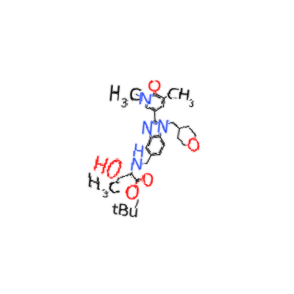 Cc1cc(-c2nc3cc(CN[C@H](C(=O)OCC(C)(C)C)[C@@H](C)O)ccc3n2CC2CCOCC2)cn(C)c1=O